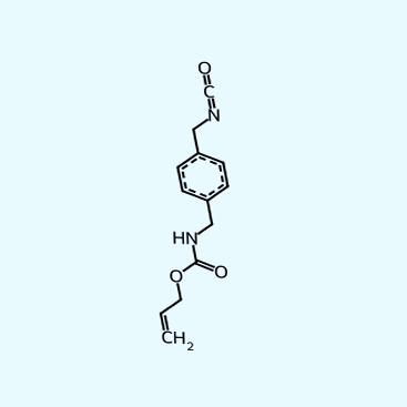 C=CCOC(=O)NCc1ccc(CN=C=O)cc1